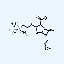 C[N+](C)(C)CCSC1SC2[C@@H](CCO)C(=O)N2C1C(=O)[O-]